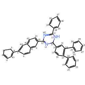 C1=CCCC(c2ccc3cc(C4=NC(c5ccc(-c6ccccc6)c(-c6ccccc6)c5)NC(c5ccccc5)=N4)ccc3c2)=C1